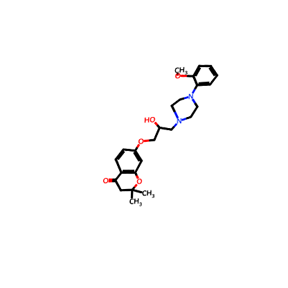 COc1ccccc1N1CCN(CC(O)COc2ccc3c(c2)OC(C)(C)CC3=O)CC1